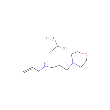 C=CCNCCCN1CCOCC1.CC(O)C(=O)O